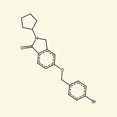 O=C1c2ccc(OCc3ccc(Br)cc3)cc2CN1C1CCCC1